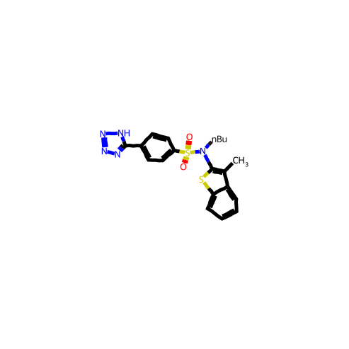 CCCCN(c1sc2ccccc2c1C)S(=O)(=O)c1ccc(-c2nnn[nH]2)cc1